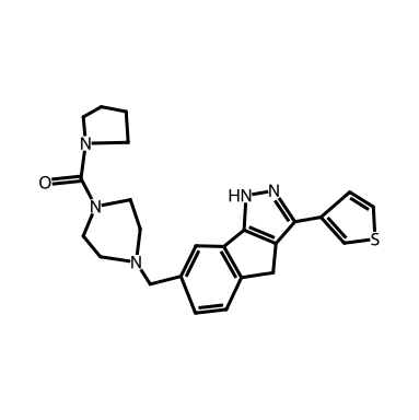 O=C(N1CCCC1)N1CCN(Cc2ccc3c(c2)-c2[nH]nc(-c4ccsc4)c2C3)CC1